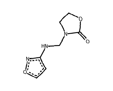 O=C1OCCN1CNc1ccon1